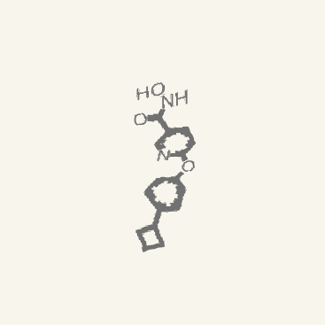 O=C(NO)c1ccc(Oc2ccc(C3CCC3)cc2)nc1